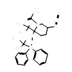 CC(C)(C)C1(CO[Si](c2ccccc2)(c2ccccc2)C(C)(C)C)CCC(N=[N+]=[N-])CN1C(=O)O